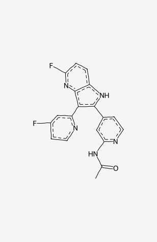 CC(=O)Nc1cc(-c2[nH]c3ccc(F)nc3c2-c2cc(F)ccn2)ccn1